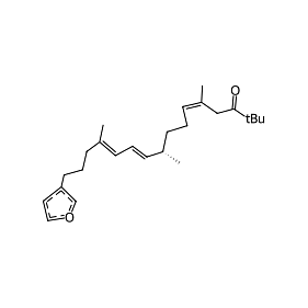 CC(=CC=C[C@@H](C)CCC=C(C)CC(=O)C(C)(C)C)CCCc1ccoc1